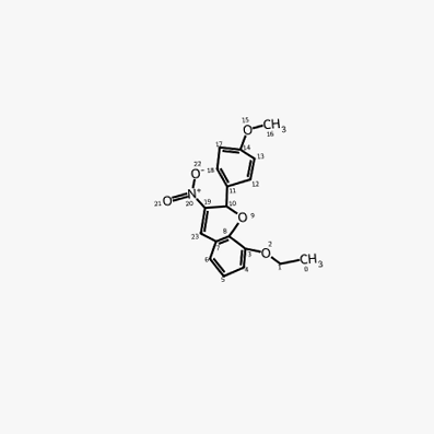 CCOc1cccc2c1OC(c1ccc(OC)cc1)C([N+](=O)[O-])=C2